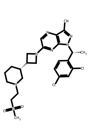 C[C@H](c1ccc(Cl)cc1Cl)n1nc(C#N)c2ncc(N3CC([C@H]4CCCN(CCS(C)(=O)=O)C4)C3)nc21